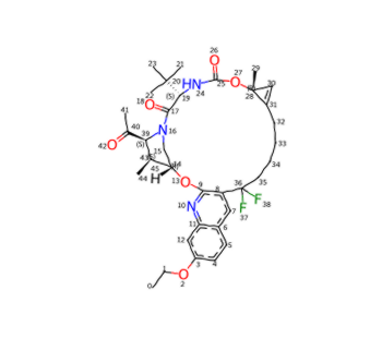 CCOc1ccc2cc3c(nc2c1)O[C@H]1CN(C(=O)[C@H](C(C)(C)C)NC(=O)O[C@]2(C)C=C2CCCCC3(F)F)[C@H](C(C)=O)[C@@H]1C